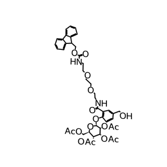 CC(=O)OC[C@H]1O[C@@H](Oc2ccc(CO)cc2C(=O)NCCOCCOCCNC(=O)OCC2c3ccccc3-c3ccccc32)[C@H](OC(C)=O)[C@@H](OC(C)=O)[C@@H]1OC(C)=O